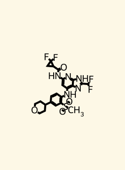 CS(=O)(=O)c1cc(C2CCOCC2)ccc1Nc1cc(NC(=O)C2CC2(F)F)nc2[nH]c(C(F)F)nc12